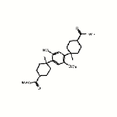 COC(=O)C1CCC(C)(c2cc(OC)c(C3(C)CCC(C(=O)OC)CC3)cc2O)CC1